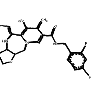 C=C1C(C(=O)NCc2ccc(F)cc2F)=CN2CC3OCCC3N/C(=C\CC)C2=C1CCC